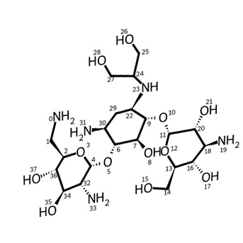 NC[C@H]1O[C@H](O[C@H]2[C@H](O)[C@@H](O[C@H]3O[C@H](CO)[C@@H](O)[C@H](N)[C@H]3O)[C@H](NC(CO)CO)C[C@@H]2N)[C@H](N)[C@@H](O)[C@@H]1O